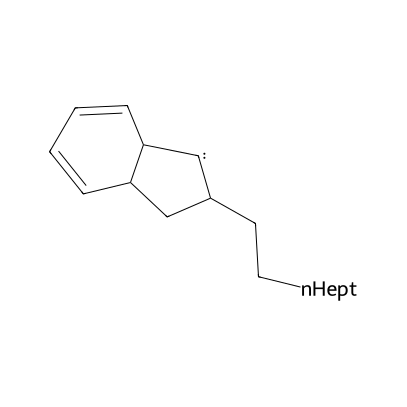 CCCCCCCCCC1[C]C2C=CC=CC2C1